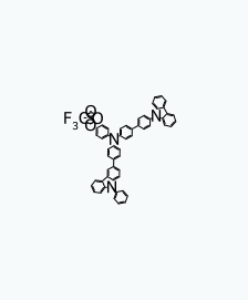 O=S(=O)(Oc1ccc(N(c2ccc(-c3ccc(-n4c5ccccc5c5ccccc54)cc3)cc2)c2ccc(-c3ccc4c(c3)c3ccccc3n4-c3ccccc3)cc2)cc1)C(F)(F)F